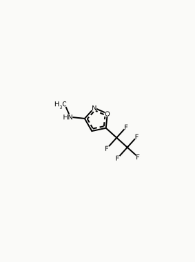 CNc1cc(C(F)(F)C(F)(F)F)on1